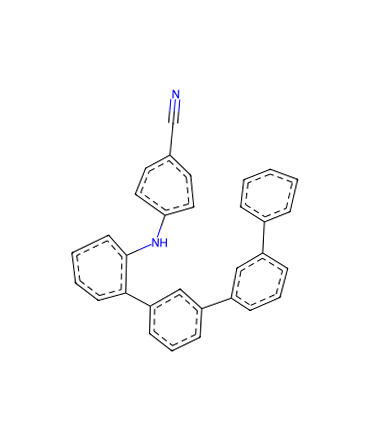 N#Cc1ccc(Nc2ccccc2-c2cccc(-c3cccc(-c4ccccc4)c3)c2)cc1